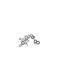 CC(C)(NC(=O)N1CCC2(CCn3nc(-c4cnc5ccccc5c4)cc32)C1)c1ccc(Cl)cc1